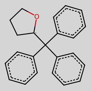 c1ccc(C([C]2CCCO2)(c2ccccc2)c2ccccc2)cc1